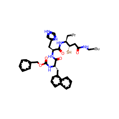 CCC(C)CNC(=O)C[C@H](S)[C@H](CC(C)C)NC(=O)[C@H](Cc1c[nH]cn1)NC(=O)[C@H](Cc1cccc2ccccc12)NC(=O)OCc1ccccc1